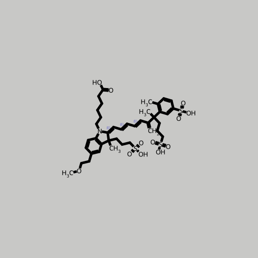 C=C(/C=C/C=C/C=C1/N(CCCCCC(=O)O)c2ccc(CCOC)cc2C1(C)CCCS(=O)(=O)O)C(C)(CCCS(=O)(=O)O)c1cc(S(=O)(=O)O)ccc1C